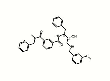 COc1cccc(CNC[C@@H](O)[C@H](Cc2ccccc2)NC(=O)c2cccc(C(=O)N(C)Cc3ccccn3)c2)c1